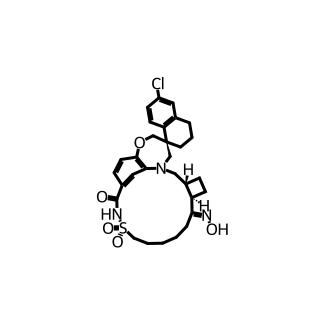 O=C1NS(=O)(=O)CCCCC/C(=N\O)[C@@H]2CC[C@H]2CN2C[C@@]3(CCCc4cc(Cl)ccc43)COc3ccc1cc32